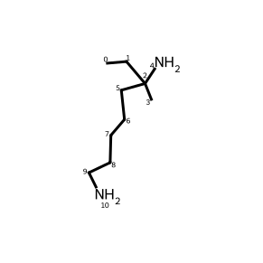 CCC(C)(N)CCCCCN